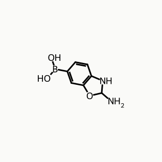 NC1Nc2ccc(B(O)O)cc2O1